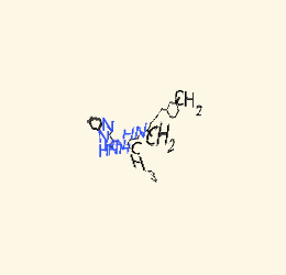 C=C1CCCC(CCCC(=C)NCCC(CC)N/C=C(\C=N)C2C=Nc3ccccc3N2)C1